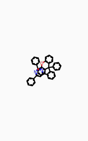 c1ccc(-c2cc(-c3ccccc3C3(c4ccccc4)c4ccccc4Oc4ccccc43)nc(-c3ccccc3)n2)cc1